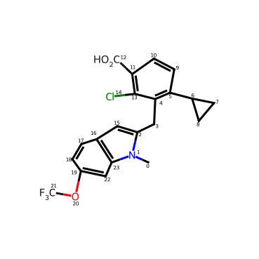 Cn1c(Cc2c(C3CC3)ccc(C(=O)O)c2Cl)cc2ccc(OC(F)(F)F)cc21